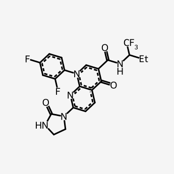 CCC(NC(=O)c1cn(-c2ccc(F)cc2F)c2nc(N3CCNC3=O)ccc2c1=O)C(F)(F)F